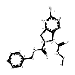 CCOC(=O)[C@H]1c2cnc(N)nc2CN1C(=O)OCc1ccccc1